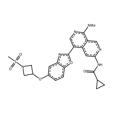 CNc1ncc(-c2nc3cc(OC4CN(S(C)(=O)=O)C4)ccc3o2)c2cc(NC(=O)C3CC3)ncc12